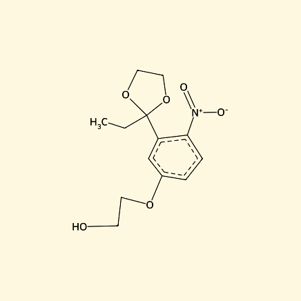 CCC1(c2cc(OCCO)ccc2[N+](=O)[O-])OCCO1